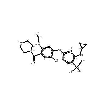 O=C(c1cc(Cl)c(Nc2ncc(C(F)(F)F)c(NC3CC3)n2)cc1OCF)N1CCOCC1